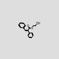 O=C(OCCO)/C(=C\c1ccccc1)c1ccccc1